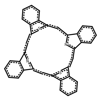 c1ccc2c(c1)-c1cc3sc(cc4nc(cc5sc(cc-2n1)c1ccccc51)-c1ccccc1-4)c1ccccc31